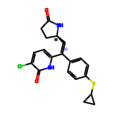 O=C1CC[C@H](/C=C(/c2ccc(SC3CC3)cc2)c2ccc(Cl)c(=O)[nH]2)N1